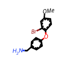 COc1ccc(Oc2ccc(CN)cc2)c(Br)c1